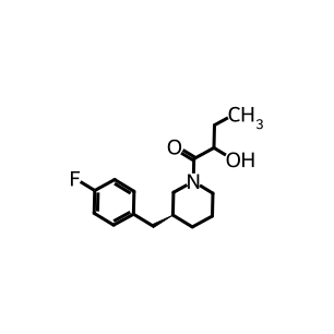 CCC(O)C(=O)N1CCC[C@@H](Cc2ccc(F)cc2)C1